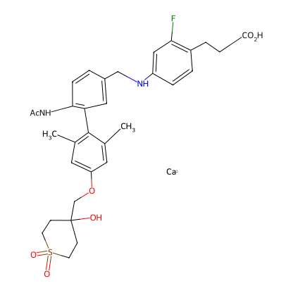 CC(=O)Nc1ccc(CNc2ccc(CCC(=O)O)c(F)c2)cc1-c1c(C)cc(OCC2(O)CCS(=O)(=O)CC2)cc1C.[Ca]